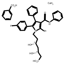 CC(C)c1c(C(=O)Nc2ccccc2)c(-c2ccccc2)c(-c2ccc(F)cc2)n1CC[C@@H](O)C[C@@H](O)CC(=O)O.O=C(O)c1ccccc1.[CaH2]